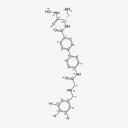 NC[C@H](NC(=O)c1ccc(-c2ccc(NC(=O)CNCc3cc(F)c(F)c(F)c3)cc2)cc1)C(=O)NO